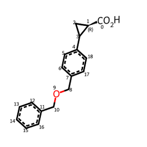 O=C(O)[C@@H]1CC1c1ccc(COCc2ccccc2)cc1